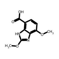 COc1nc2c(OC)ccc(C(=O)O)c2[nH]1